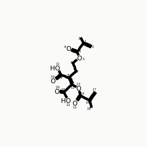 C=C(C)C(=O)OCC/C(C(=O)O)=C(\OC(=O)C(=C)C)C(=O)O